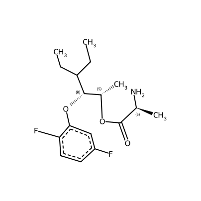 CCC(CC)[C@@H](Oc1cc(F)ccc1F)[C@H](C)OC(=O)[C@H](C)N